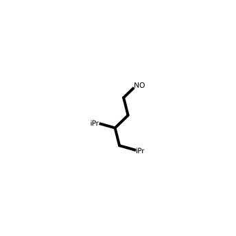 CC(C)CC(CCN=O)C(C)C